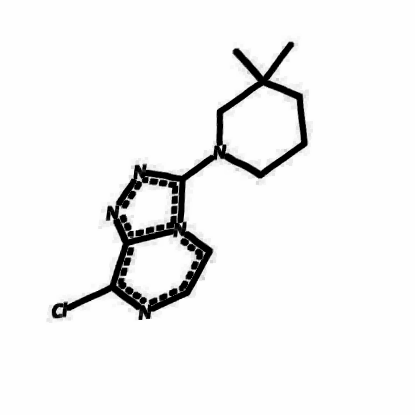 CC1(C)CCCN(c2nnc3c(Cl)nccn23)C1